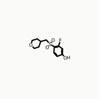 O=S(=O)(CC1CCOCC1)c1ccc(O)cc1F